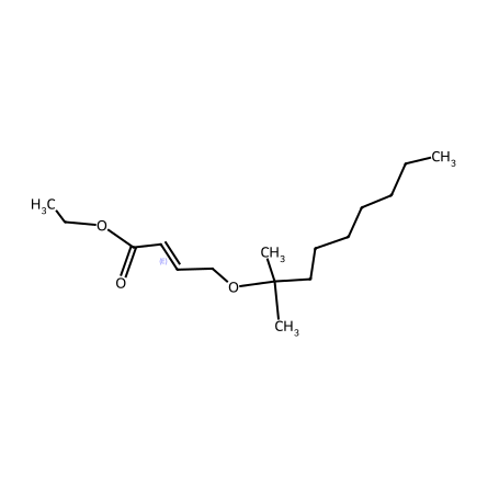 CCCCCCCC(C)(C)OC/C=C/C(=O)OCC